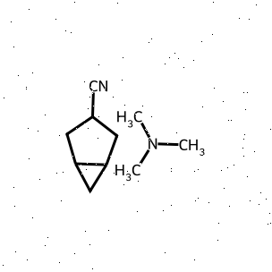 CN(C)C.N#CC1CC2CC2C1